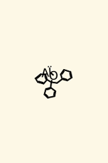 [Al][O]C(Cc1ccccc1)(c1ccccc1)c1ccccc1